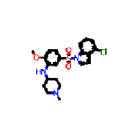 COc1ccc(S(=O)(=O)n2ccc3c(Cl)cccc32)cc1NC1CCN(C)CC1